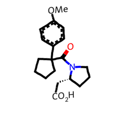 COc1ccc(C2(C(=O)N3CCC[C@@H]3CC(=O)O)CCCC2)cc1